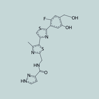 Cc1nc(CNC(=O)c2cc[nH]n2)sc1-c1csc(-c2cc(O)c(CO)cc2F)n1